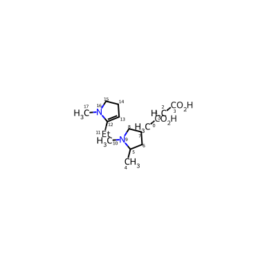 CC(=O)O.CC(=O)O.CC1CCCN1C.CCC1=CCCN1C